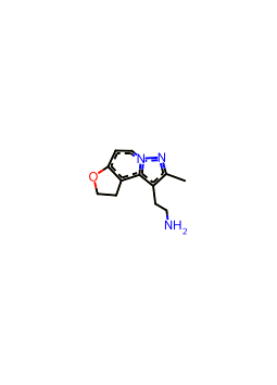 Cc1nn2ccc3c(c2c1CCN)CCO3